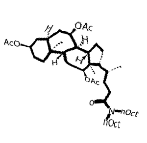 CCCCCCCCN(CCCCCCCC)C(=O)CC[C@@H](C)[C@H]1CC[C@H]2[C@@H]3[C@H](OC(C)=O)C[C@@H]4C[C@H](OC(C)=O)CC[C@]4(C)[C@H]3C[C@H](OC(C)=O)[C@]12C